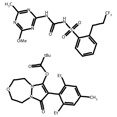 CCc1cc(C)cc(CC)c1-c1c(OC(=O)C(C)(C)C)n2n(c1=O)CCOCC2.COc1nc(C)nc(NC(=O)NS(=O)(=O)c2ccccc2CCC(F)(F)F)n1